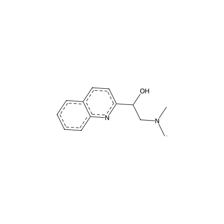 [CH2]N(C)CC(O)c1ccc2ccccc2n1